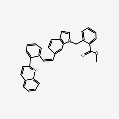 COC(=O)c1ccccc1Cn1ccc2ccc(/C=C\c3ccccc3-c3ccc4ccccc4n3)cc21